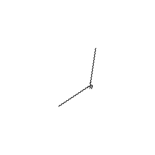 CCCCCCCCCCCCCCCCCCCCCCCC/C=C/C1=C(/C=C/CCCCCCCCCCCCCCCCCCCCCCCC)[N]C=C1